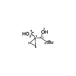 CC(C)(C)C(O)C1(C(=O)O)CC1